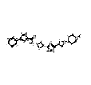 CN1CCC(N2CC(c3nnc([C@H]4C[C@H](NC(=O)c5cc(-c6ccccc6)no5)C4)o3)C2)CC1